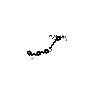 Nc1ccc(OCCCCCCOc2ccc(CCc3ccc(/C=C/C(=O)c4ccccc4)cc3)cc2)c(N)c1